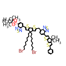 CC1(C)c2cc(-c3ccccc3)sc2-c2sc(-c3ccc(Cc4cc5c(s4)-c4sc(-c6ccc(B7OC(C)(C)C(C)(C)O7)c7nsnc67)cc4C5(CCCCCCCCBr)CCCCCCCCBr)c4nsnc34)cc21